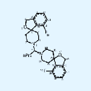 CCCC(N1CCC2(CC1)OCc1cccc(F)c12)N1CCC2(CC1)OCc1cccc(F)c12